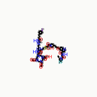 C#C[C@H]1CC(F)(F)CN1C(=O)CNC(=O)c1ccnc2ccc(OCCCC3CCN(C(=O)[C@H](O)CSCCNC(=O)C(CCCC/N=C(\C)NC(=O)CCCc4ccc(I)cc4)NC(=O)CN4CCN(COC=O)CCN(COC=O)CCN(CC(=O)O)CC4)CC3)cc12